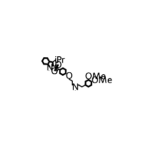 COc1ccc(CCN(C)CCCOc2ccc(S(=O)(=O)c3c(C(C)C)c4ccccc4n3C)cc2)cc1OC